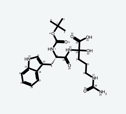 CC(C)(C)OC(=O)N[C@@H](Cc1c[nH]c2ccccc12)C(=O)NC(O)(CCCNC(N)=O)C(=O)O